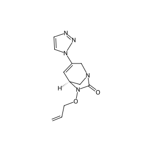 C=CCON1C(=O)N2CC(n3ccnn3)=C[C@H]1C2